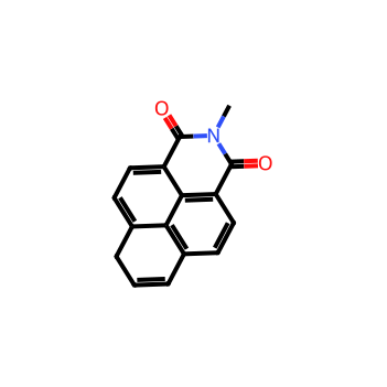 CN1C(=O)c2ccc3c4c(ccc(c24)C1=O)CC=C3